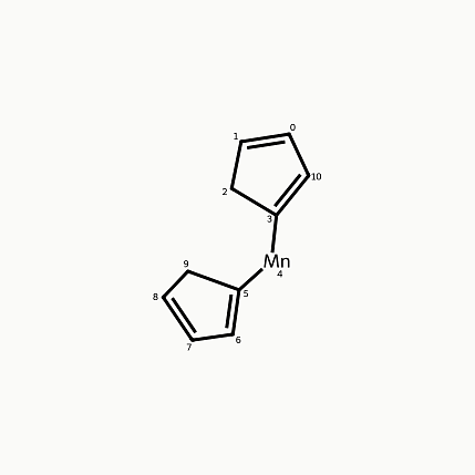 C1=CC[C]([Mn][C]2=CC=CC2)=C1